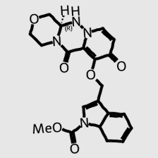 COC(=O)N1C=C(COc2c3n(ccc2=O)N[C@@H]2COCCN2C3=O)C2=CC=CCC21